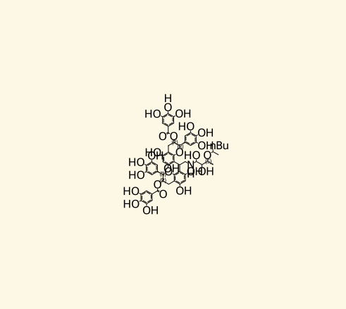 CCCCC(C)O[C@@H](C)C(O)C(O)NCC(c1c(O)cc(O)c2c1O[C@H](c1cc(O)c(O)c(O)c1)[C@H](OC(=O)c1cc(O)c(O)c(O)c1)C2)c1c(O)cc(O)c2c1O[C@H](c1cc(O)c(O)c(O)c1)[C@H](OC(=O)c1cc(O)c(O)c(O)c1)C2